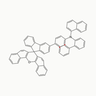 c1ccc(-c2ccccc2N(c2ccc(-c3ccc4c(c3)-c3ccccc3C43c4ccc5ccccc5c4Oc4c3ccc3ccccc43)cc2)c2cccc3ccccc23)cc1